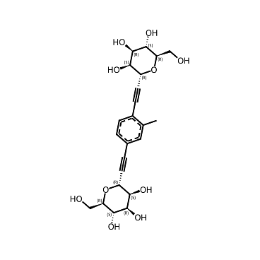 Cc1cc(C#C[C@H]2O[C@H](CO)[C@@H](O)[C@H](O)[C@@H]2O)ccc1C#C[C@H]1O[C@H](CO)[C@@H](O)[C@H](O)[C@@H]1O